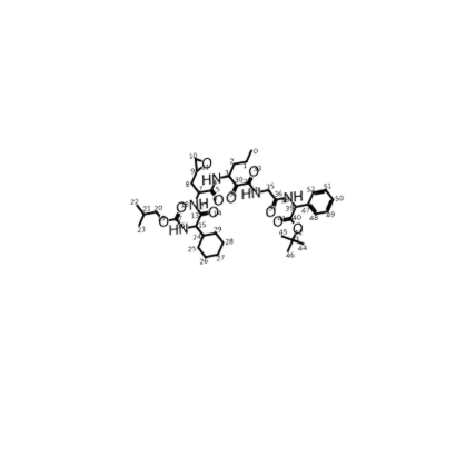 CCCC(NC(=O)C(CC1CO1)NC(=O)C(NC(=O)OCC(C)C)C1CCCCC1)C(=O)C(=O)NCC(=O)NC(C(=O)OC(C)(C)C)c1ccccc1